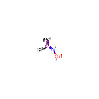 CC(C)[PH](=NO)C(C)C